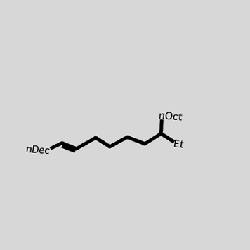 [CH2]CCCCCCCCC/C=C/CCCCC(CC)CCCCCCC[CH2]